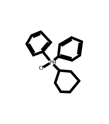 Cl[PH](c1ccccc1)(c1ccccc1)C1CCCCC1